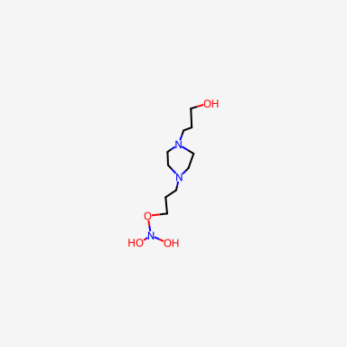 OCCCN1CCN(CCCON(O)O)CC1